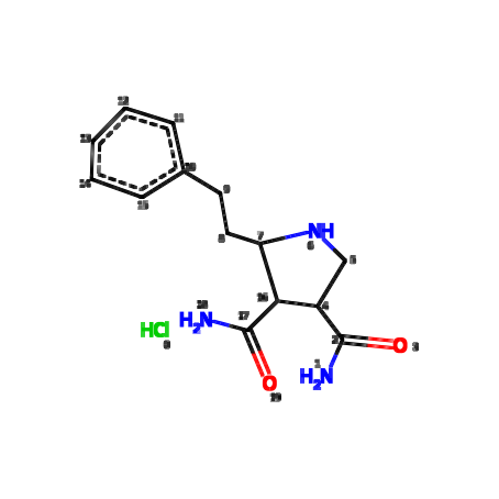 Cl.NC(=O)C1CNC(CCc2ccccc2)C1C(N)=O